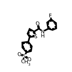 CS(=O)(=O)c1ccc(-c2ccc(C(=O)Nc3cccc(F)c3)s2)cc1